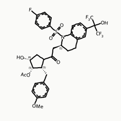 COc1ccc(C[C@H]2C(C(=O)C[C@@H]3CCc4cc(C(O)(C(F)(F)F)C(F)(F)F)ccc4N3S(=O)(=O)c3ccc(F)cc3)C[C@@H](O)[C@H]2OC(C)=O)cc1